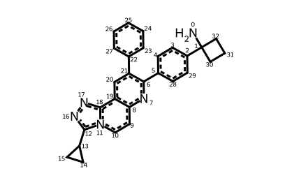 NC1(c2ccc(-c3nc4ccn5c(C6CC6)nnc5c4cc3-c3ccccc3)cc2)CCC1